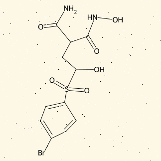 NC(=O)C(CC(O)S(=O)(=O)c1ccc(Br)cc1)C(=O)NO